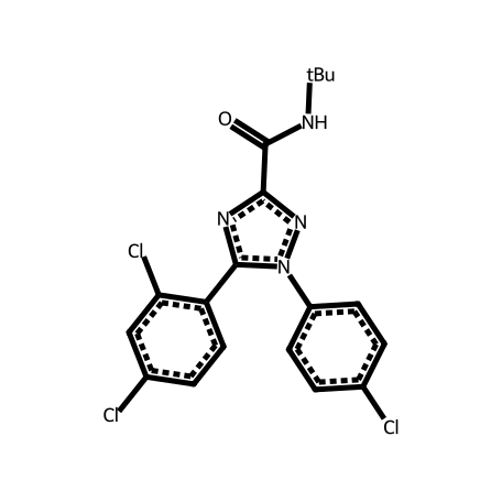 CC(C)(C)NC(=O)c1nc(-c2ccc(Cl)cc2Cl)n(-c2ccc(Cl)cc2)n1